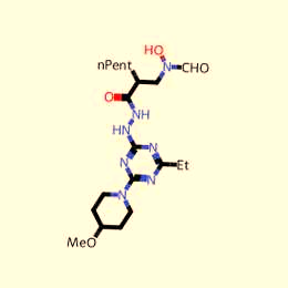 CCCCCC(CN(O)C=O)C(=O)NNc1nc(CC)nc(N2CCC(OC)CC2)n1